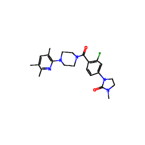 Cc1cc(C)c(N2CCN(C(=O)c3ccc(N4CCN(C)C4=O)cc3F)CC2)nc1C